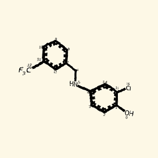 Oc1ccc(NCc2cccc(C(F)(F)F)c2)cc1Cl